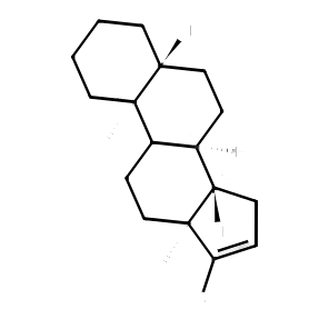 C[C@]12CCC3[C@@H](CC[C@H]4CCCC[C@]34C)[C@@H]1CC=C2O